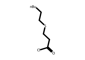 CCCCCCSCCC(=O)Cl